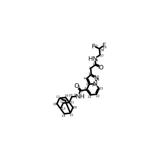 O=C(Cc1cc2c(C(=O)NCC34CC5CC(CC(C5)C3)C4)cccn2n1)NCC(F)F